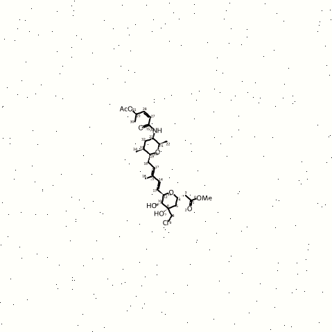 COC(=O)C[C@@H]1C[C@@](O)(CCl)[C@H](O)[C@@H](/C=C/C(C)=C/C[C@@H]2O[C@H](C)[C@H](NC(=O)/C=C\C(C)OC(C)=O)C[C@@H]2C)O1